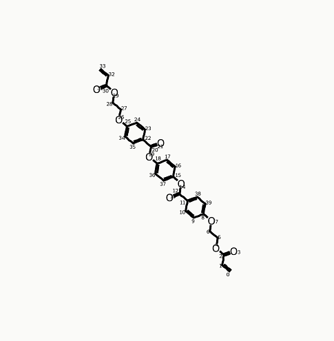 C=CC(=O)OCCOc1ccc(C(=O)Oc2ccc(OC(=O)c3ccc(OCCOC(=O)C=C)cc3)cc2)cc1